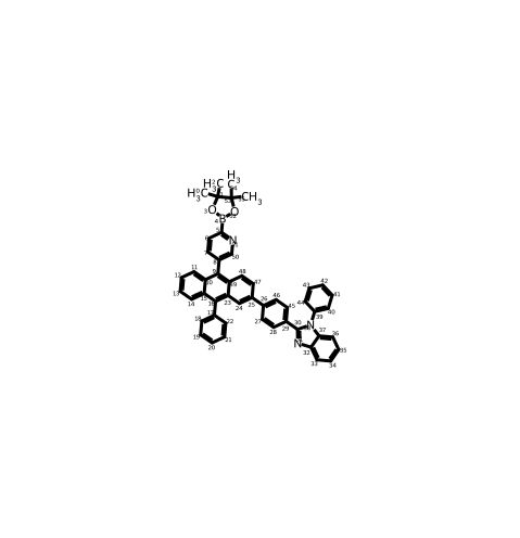 CC1(C)OB(c2ccc(-c3c4ccccc4c(-c4ccccc4)c4cc(-c5ccc(-c6nc7ccccc7n6-c6ccccc6)cc5)ccc34)cn2)OC1(C)C